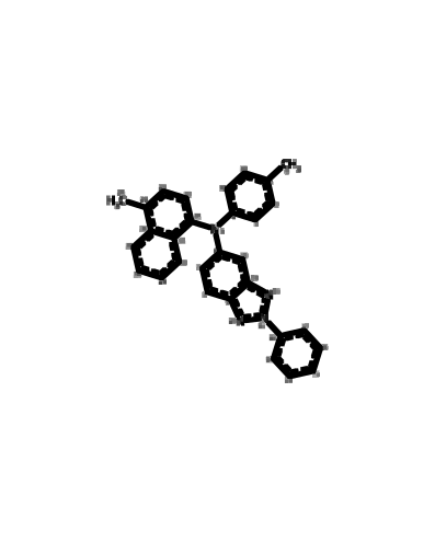 Cc1ccc(N(c2ccc3nn(-c4ccccc4)nc3c2)c2ccc(C)c3ccccc23)cc1